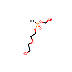 CP(=O)(OCO)OCCOCCO